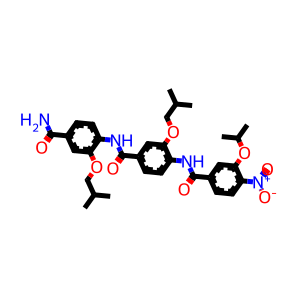 CC(C)COc1cc(C(N)=O)ccc1NC(=O)c1ccc(NC(=O)c2ccc([N+](=O)[O-])c(OC(C)C)c2)c(OCC(C)C)c1